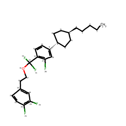 CCCCC[C@H]1CC[C@H](c2ccc(C(F)(F)OCCc3ccc(F)c(F)c3)c(F)c2)CC1